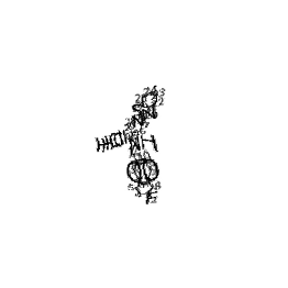 Cl.Cl.Fc1ccc2c(c1)OCC(CNCC1CCN(c3nc4ccccc4s3)CC1)O2